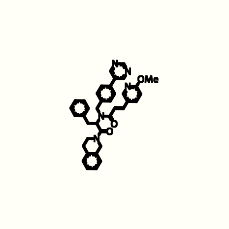 COc1ccc(C=CC(=O)N(Cc2ccc(-c3cncnc3)cc2)C(Cc2ccccc2)C(=O)N2CCc3ccccc3C2)cn1